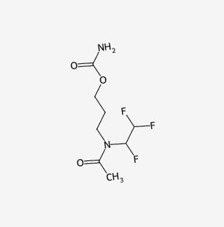 CC(=O)N(CCCOC(N)=O)C(F)C(F)F